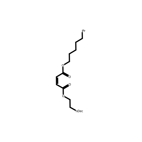 CCCCCCCCCCCCOC(=O)/C=C\C(=O)OCCCCCC(C)C